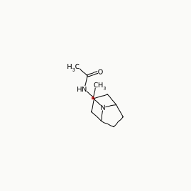 CCN1C2CCC1CC(NC(C)=O)C2